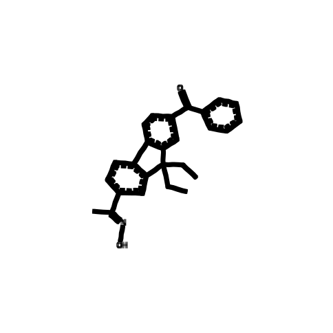 CCC1(CC)c2cc(C(=O)c3ccccc3)ccc2-c2ccc(C(C)=NO)cc21